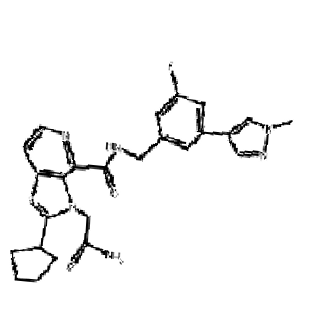 Cn1cc(-c2cc(F)cc(CNC(=O)c3nccc4nc(C5CCCC5)n(CC(N)=O)c34)c2)cn1